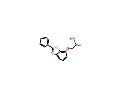 CC(O)COc1cccc2nc(-c3ccccc3)sc12